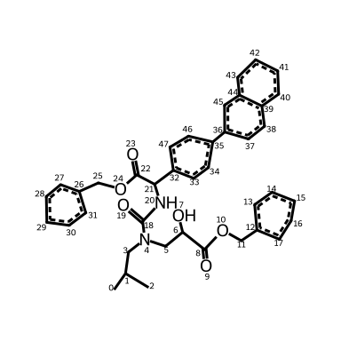 CC(C)CN(CC(O)C(=O)OCc1ccccc1)C(=O)NC(C(=O)OCc1ccccc1)c1ccc(-c2ccc3ccccc3c2)cc1